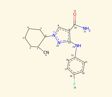 N#CC1CCCCC1n1cc(C(N)=O)c(Nc2ccc(F)cc2)n1